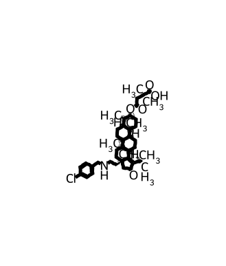 CC(C)C1=C2[C@H]3CC[C@@H]4[C@@]5(C)CC[C@H](OC(=O)CC(C)(C)C(=O)O)[C@H](C)[C@@H]5CC[C@@]4(C)[C@]3(C)CC[C@@]2(CCNCc2ccc(Cl)cc2)CC1=O